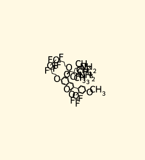 COc1ccc(-c2cc3ccc(OCCC(F)(F)OC(F)(F)OC(F)(F)CCOC(=O)C(C)(CC(C)(C)N)C(C)(C)N)cc3oc2=O)c(OC(F)(F)F)c1